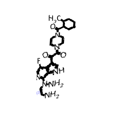 CC1CCCCC1C(=O)N1CCN(C(=O)C(=O)c2c[nH]c3c(N(N)/C=C\N)ncc(F)c23)CC1